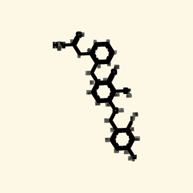 NC(=O)Cc1ccccc1Cn1ccc(OCc2ccc(F)cc2F)c(Br)c1=O